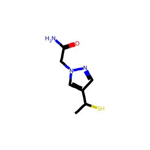 CC(S)c1cnn(CC(N)=O)c1